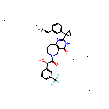 C=Cc1cccc(C2(c3nc4c(c(=O)[nH]3)CN(C(=O)C(O)c3cccc(C(F)(F)F)c3)CCC4)CC2)c1